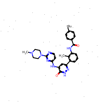 Cc1c(NC(=O)c2ccc(C(C)(C)C)cc2)cccc1-c1cc(Nc2ccnc(N3CCN(C)CC3)n2)c(=O)[nH]n1